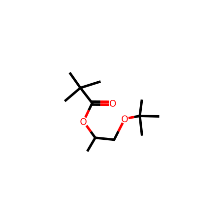 CC(COC(C)(C)C)OC(=O)C(C)(C)C